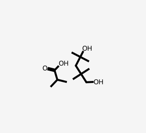 CC(C)(O)CC(C)(C)CO.CC(C)C(=O)O